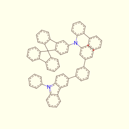 c1ccc(-c2ccccc2N(c2cccc(-c3cccc(-c4ccc5c(c4)c4ccccc4n5-c4ccccc4)c3)c2)c2ccc3c(c2)-c2ccccc2C32c3ccccc3-c3ccccc32)cc1